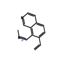 C=Cc1ccc2ccncc2c1/C=N\C